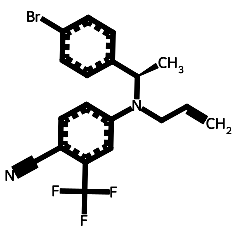 C=CCN(c1ccc(C#N)c(C(F)(F)F)c1)[C@H](C)c1ccc(Br)cc1